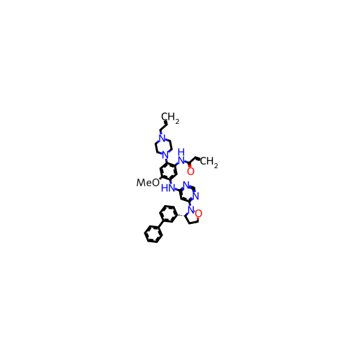 C=CCN1CCN(c2cc(OC)c(Nc3cc(N4OCC[C@@H]4c4cccc(-c5ccccc5)c4)ncn3)cc2NC(=O)C=C)CC1